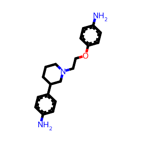 Nc1ccc(OCCN2CCCC(c3ccc(N)cc3)C2)cc1